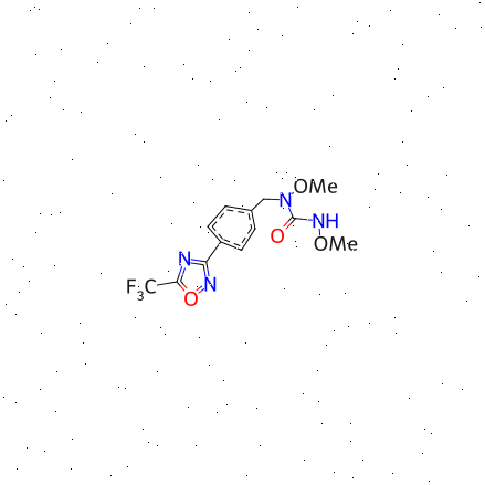 CONC(=O)N(Cc1ccc(-c2noc(C(F)(F)F)n2)cc1)OC